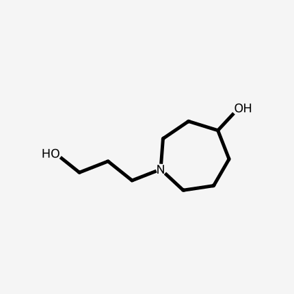 OCCCN1CCCC(O)CC1